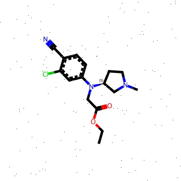 CCOC(=O)CN(c1ccc(C#N)c(Cl)c1)[C@H]1CCN(C)C1